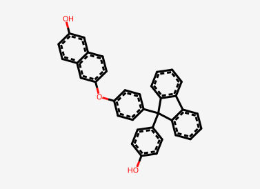 Oc1ccc(C2(c3ccc(Oc4ccc5cc(O)ccc5c4)cc3)c3ccccc3-c3ccccc32)cc1